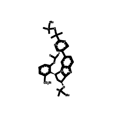 CCOC(=O)c1cccc(OC(F)F)c1[C@H]1C[C@@H](O[Si](C)(C)C(C)(C)C)c2nc3ccc(-c4cnc(C(C)(C)O[Si](C)(C)C(C)(C)C)nc4)cc3n21